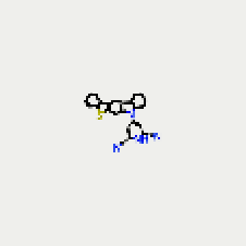 N#CC1=CC(n2c3ccccc3c3cc4c(cc32)sc2c#cccc24)=CC(C#N)N1